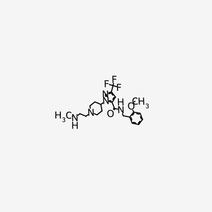 CNCCN1CCC(n2nc(C(F)(F)F)cc2C(=O)NCc2ccccc2OC)CC1